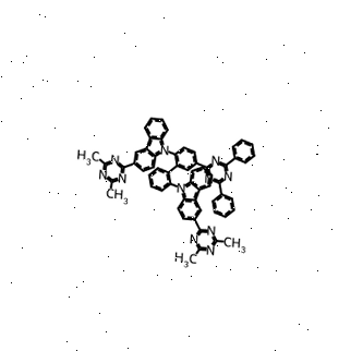 Cc1nc(C)nc(-c2ccc3c(c2)c2ccccc2n3-c2ccccc2-c2cc(-c3nc(-c4ccccc4)nc(-c4ccccc4)n3)ccc2-n2c3ccccc3c3cc(-c4nc(C)nc(C)n4)ccc32)n1